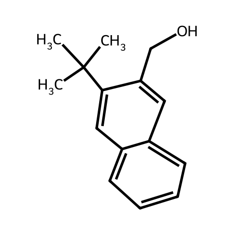 CC(C)(C)c1cc2ccccc2cc1CO